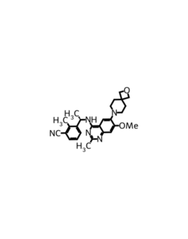 COc1cc2nc(C)nc(N[C@H](C)c3cccc(C#N)c3C)c2cc1N1CCC2(CC1)COC2